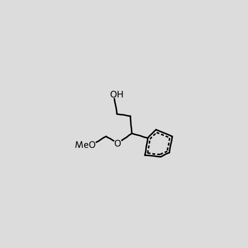 COCOC(CCO)c1ccccc1